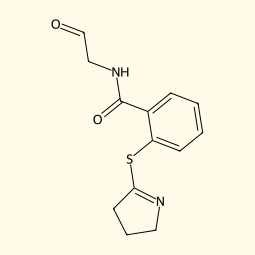 O=CCNC(=O)c1ccccc1SC1=NCCC1